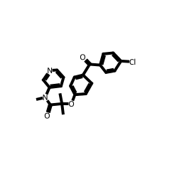 CN(C(=O)C(C)(C)Oc1ccc(C(=O)c2ccc(Cl)cc2)cc1)c1cccnc1